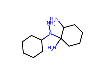 NC1CCCCC1(N)N(N)C1CCCCC1